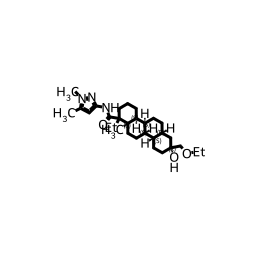 CCOC[C@@]1(O)CC[C@H]2[C@H](CC[C@H]3[C@H]2CC[C@@]2(C)[C@H]3CCCC2(CC)C(=O)Nc2cc(C)n(C)n2)C1